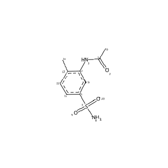 CC(=O)Nc1cc(S(N)(=O)=O)ccc1C